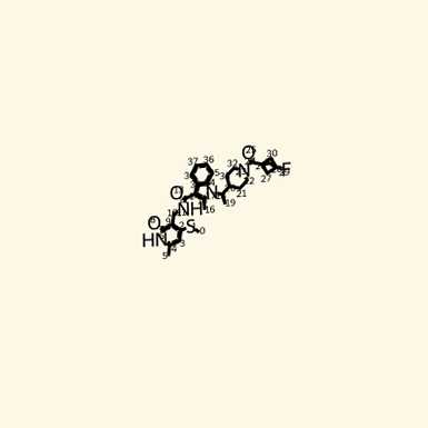 CSc1cc(C)[nH]c(=O)c1CNC(=O)c1c(C)n(C(C)C2CCN(C(=O)C34CC(F)(C3)C4)CC2)c2ccccc12